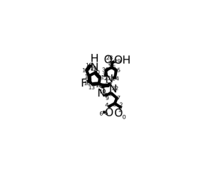 COCC(COC)Cc1cnc(-c2cc(F)c3cc[nH]c3c2)c(N2CCC(C(=O)O)CC2)n1